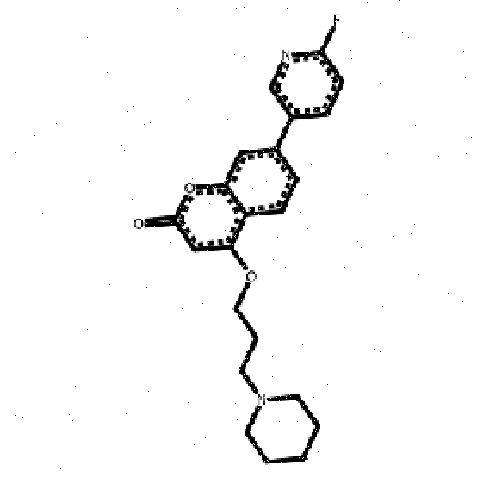 O=c1cc(OCCCN2CC[CH]CC2)c2ccc(-c3ccc(F)nc3)cc2o1